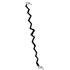 C=CCCCCCCCC=CCCCCCCCC